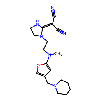 CN(CCN1CCNC1=C(C#N)C#N)c1cc(CN2CCCCC2)co1